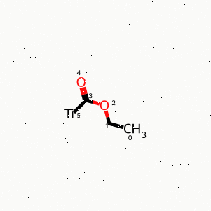 CCO[C](=O)[Ti]